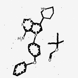 CC(C)(C)OC=O.Nc1ncnc2c(C3CCCNC3)cn(-c3ccc(Oc4ccccc4)cc3)c12